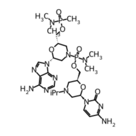 CC(C)N1C[C@@H](COP(=O)(N(C)C)N2C[C@@H](COP(C)(=O)N(C)C)O[C@@H](n3cnc4c(N)ncnc43)C2)O[C@@H](n2ccc(N)nc2=O)C1